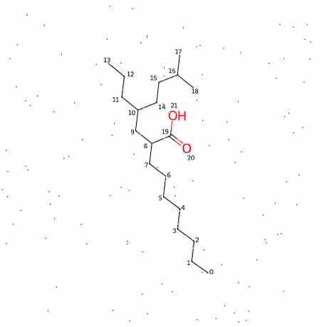 CCCCCCCCC(CC(CCC)CCC(C)C)C(=O)O